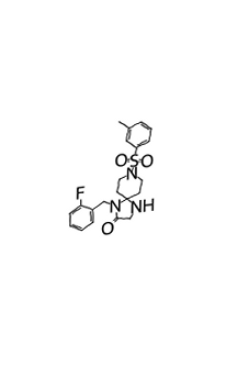 Cc1cccc(S(=O)(=O)N2CCC3(CC2)NCC(=O)N3Cc2ccccc2F)c1